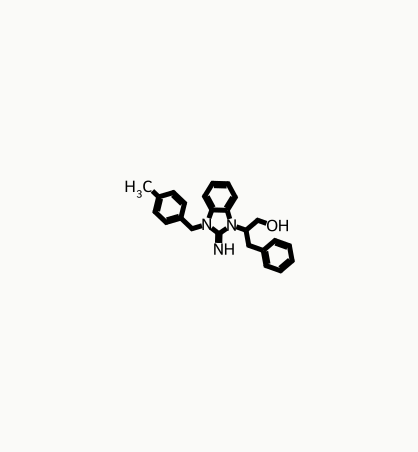 Cc1ccc(Cn2c(=N)n(C(CO)Cc3ccccc3)c3ccccc32)cc1